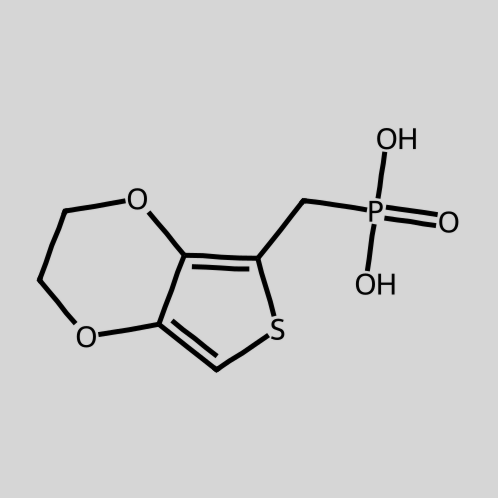 O=P(O)(O)Cc1scc2c1OCCO2